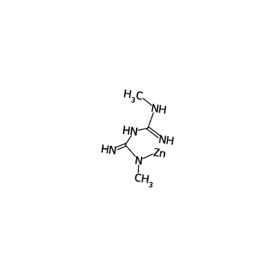 CNC(=N)NC(=N)[N](C)[Zn]